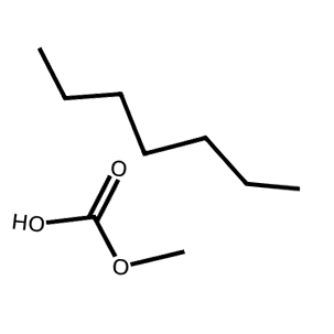 CCCCCCC.COC(=O)O